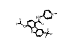 C[n+]1ccc(NC(=O)c2ccc(OC(F)F)c3oc4ccc(C(F)(F)F)cc4c23)cc1